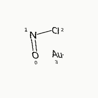 O=NCl.[Au]